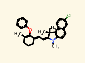 CC1=C(Oc2ccccc2)/C(=C/C=C2/N(C)c3ccc4cc(Cl)ccc4c3C2(C)C)CCC1